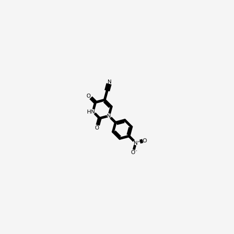 N#Cc1cn(-c2ccc([N+](=O)[O-])cc2)c(=O)[nH]c1=O